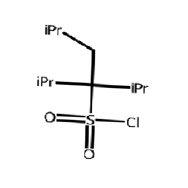 CC(C)CC(C(C)C)(C(C)C)S(=O)(=O)Cl